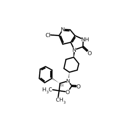 CC1(C)OC(=O)N([C@H]2CC[C@H](n3c(=O)[nH]c4cnc(Cl)cc43)CC2)[C@H]1c1ccccc1